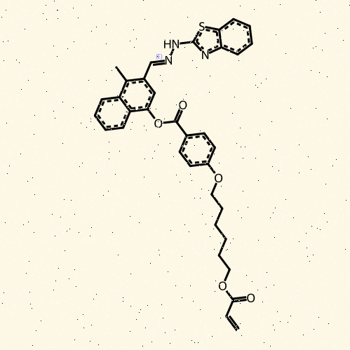 C=CC(=O)OCCCCCCOc1ccc(C(=O)Oc2cc(/C=N/Nc3nc4ccccc4s3)c(C)c3ccccc23)cc1